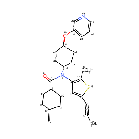 CC(C)(C)C#Cc1cc(N(C(=O)[C@H]2CC[C@H](C)CC2)[C@H]2CC[C@H](Oc3cccnc3)CC2)c(C(=O)O)s1